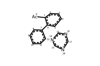 CC(=O)c1ccccc1-c1ccccc1.c1ncncn1